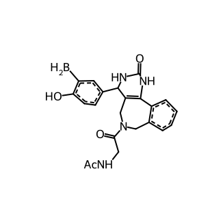 Bc1cc(C2NC(=O)NC3=C2CN(C(=O)CNC(C)=O)Cc2ccccc23)ccc1O